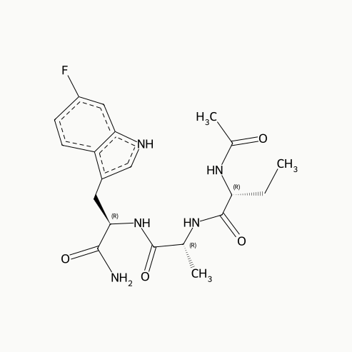 CC[C@@H](NC(C)=O)C(=O)N[C@H](C)C(=O)N[C@H](Cc1c[nH]c2cc(F)ccc12)C(N)=O